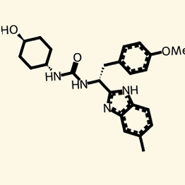 COc1ccc(C[C@@H](NC(=O)N[C@H]2CC[C@H](O)CC2)c2nc3cc(C)ccc3[nH]2)cc1